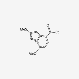 CCC(=O)c1ccc(OC)n2nc(SC)cc12